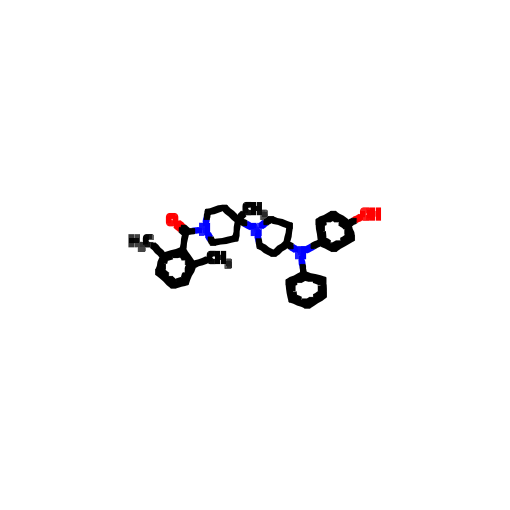 Cc1cccc(C)c1C(=O)N1CCC(C)(N2CCC(N(c3ccccc3)c3ccc(O)cc3)CC2)CC1